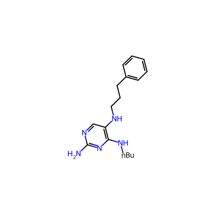 CCCCNc1nc(N)ncc1NCCCc1ccccc1